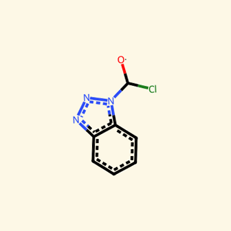 [O]C(Cl)n1nnc2ccccc21